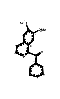 COc1cc2ccnc(C(=O)c3ccccc3)c2cc1OC